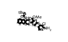 COC(=O)c1nc(Sc2ccnc(N)c2Cl)cnc1N1CCC2(CC1)Cc1ccccc1[C@H]2NC(=O)OC(C)(C)C